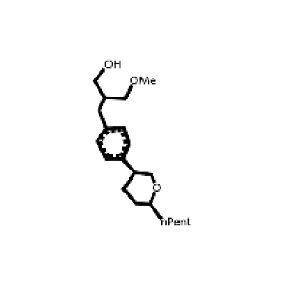 CCCCCC1CCC(c2ccc(CC(CO)COC)cc2)CO1